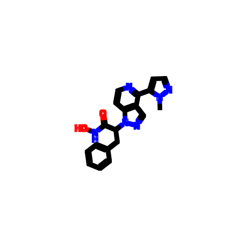 Cn1nccc1-c1nccc2c1cnn2C(Cc1ccccc1)C(=O)NO